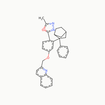 Cc1nnc(-c2ccc(OCc3ccc4ccccc4n3)cc2C2(c3ccccc3)CC3CCC2C3)o1